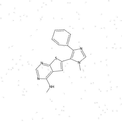 CNc1ncnc2sc(-c3c(-c4ccccc4)ncn3C)cc12